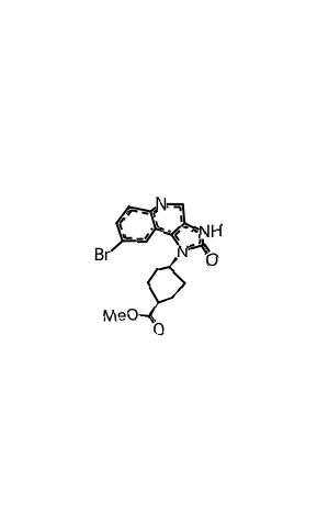 COC(=O)[C@H]1CC[C@@H](n2c(=O)[nH]c3cnc4ccc(Br)cc4c32)CC1